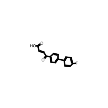 O=C(O)/C=C/C(=O)c1ccc(-c2ccc(F)cc2)cc1